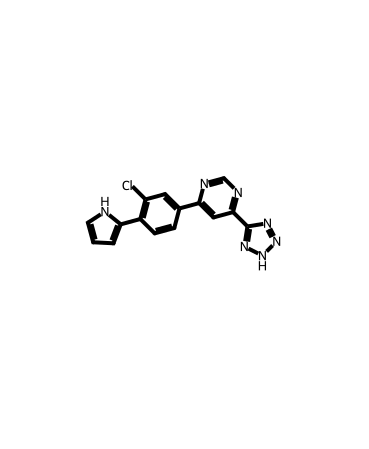 Clc1cc(-c2cc(-c3nn[nH]n3)ncn2)ccc1-c1ccc[nH]1